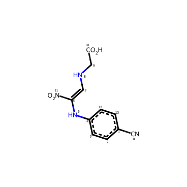 N#Cc1ccc(NC(=CNCC(=O)O)[N+](=O)[O-])cc1